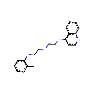 Cc1ccccc1NCCNCCNc1ccnc2ccccc12